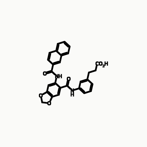 O=C(O)CCc1cccc(NC(=O)c2cc3c(cc2NC(=O)c2ccc4ccccc4c2)OCO3)c1